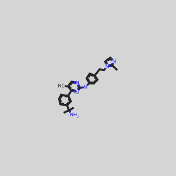 Cc1nccn1CCc1ccc([N]c2ncc(C#N)c(-c3cccc(C(C)(C)N)c3)n2)cc1